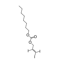 CCCCCCCCOC(=O)OCC(I)=C(I)I